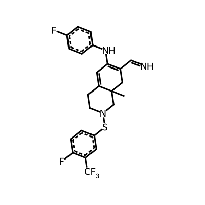 CC12CC(C=N)=C(Nc3ccc(F)cc3)C=C1CCN(Sc1ccc(F)c(C(F)(F)F)c1)C2